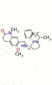 COc1cc2c(cc1CN[C@H]1CCCN(C(C)C)[C@H]1c1ccccc1)N(C)C(=O)CC2